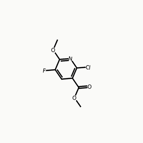 COC(=O)c1cc(F)c(OC)nc1Cl